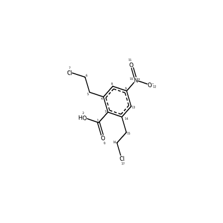 O=C(O)c1c(CCCl)cc([N+](=O)[O-])cc1CCCl